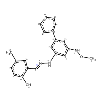 CONc1nc(N/N=C/c2cc(C)ccc2O)cc(-c2ccncc2)n1